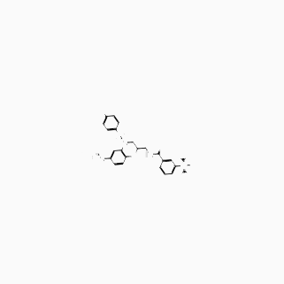 CCS(=O)(=O)c1cccc(C(=O)NCC2CN(S(=O)(=O)c3ccc(F)cc3)c3cc(NC(=O)O)ccc3O2)c1